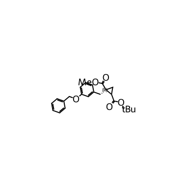 COC(=O)[C@@]1(Cc2cccc(OCc3ccccc3)c2)CC1C(=O)OC(C)(C)C